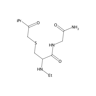 CCNC(CSCC(=O)C(C)C)C(=O)NCC(N)=O